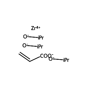 C=CC(=O)[O-].CC(C)[O-].CC(C)[O-].CC(C)[O-].[Zr+4]